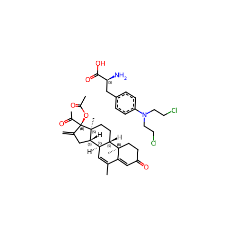 C=C1C[C@H]2[C@@H]3C=C(C)C4=CC(=O)CC[C@]4(C)[C@H]3CC[C@]2(C)[C@@]1(OC(C)=O)C(C)=O.N[C@@H](Cc1ccc(N(CCCl)CCCl)cc1)C(=O)O